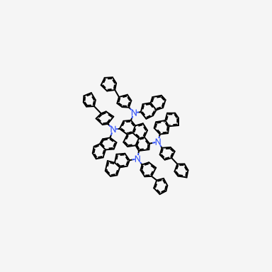 c1ccc(-c2ccc(N(c3ccc4ccccc4c3)c3cc(N(c4ccc(-c5ccccc5)cc4)c4ccc5ccccc5c4)c4ccc5c(N(c6ccc(-c7ccccc7)cc6)c6ccc7ccccc7c6)cc(N(c6ccc(-c7ccccc7)cc6)c6ccc7ccccc7c6)c6ccc3c4c65)cc2)cc1